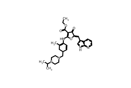 CCOC(=O)C1=C(NC2=C(C)CC(CN3CCN(C(C)C)CC3)C=C2)O/C(=C\c2c[nH]c3ncccc23)C1=O